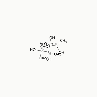 CC(=O)O[C@](O)([C@@](O)(C=O)OC(C)=O)[C@](O)(OC(C)=O)[C@H](C)O